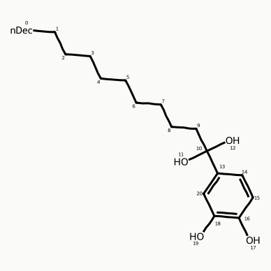 CCCCCCCCCCCCCCCCCCCC(O)(O)c1ccc(O)c(O)c1